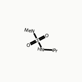 CNS(=O)(=O)NC(C)C